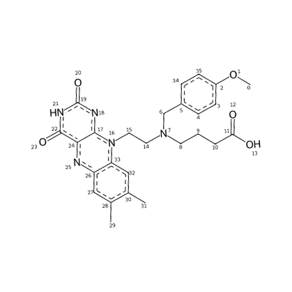 COc1ccc(CN(CCCC(=O)O)CCn2c3nc(=O)[nH]c(=O)c-3nc3cc(C)c(C)cc32)cc1